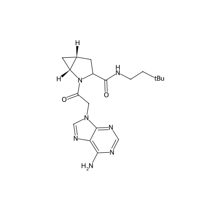 CC(C)(C)CCNC(=O)C1C[C@H]2C[C@H]2N1C(=O)Cn1cnc2c(N)ncnc21